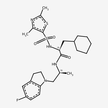 Cc1nc(C)c(S(=O)(=O)N[C@@H](CC2CCCCC2)C(=O)N[C@@H](C)CN2CCc3cc(F)ccc32)s1